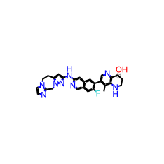 Cc1c(-c2cc3cc(Nc4cc5n(n4)Cc4nccn4CC5)ncc3cc2F)cnc2c1NCC[C@H]2O